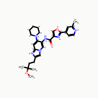 COC(C)(C)CCc1cn2cc(NC(=O)c3coc(-c4ccnc(C)c4)n3)c(N3CCCCC3)cc2n1